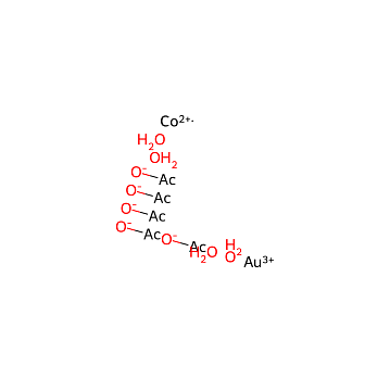 CC(=O)[O-].CC(=O)[O-].CC(=O)[O-].CC(=O)[O-].CC(=O)[O-].O.O.O.O.[Au+3].[Co+2]